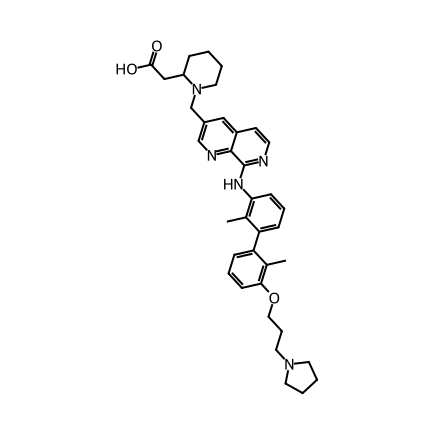 Cc1c(Nc2nccc3cc(CN4CCCCC4CC(=O)O)cnc23)cccc1-c1cccc(OCCCN2CCCC2)c1C